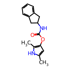 Cc1cc(OC(=O)NC2Cc3ccccc3C2)c(C)[nH]1